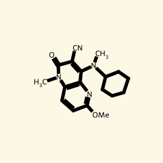 COc1ccc2c(n1)c(N(C)C1CCCCC1)c(C#N)c(=O)n2C